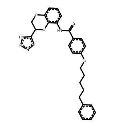 O=C(Nc1cccc2c1OC(c1nnn[nH]1)CO2)c1ccc(OCCCCCc2ccccc2)cc1